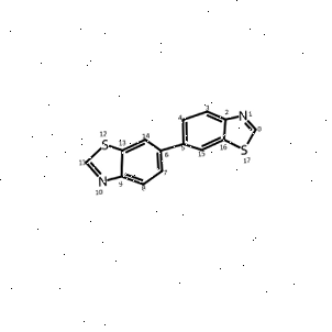 c1nc2ccc(-c3ccc4ncsc4c3)cc2s1